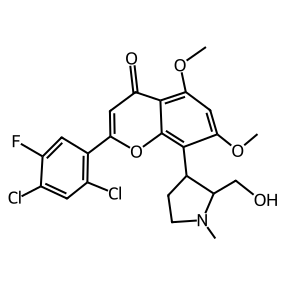 COc1cc(OC)c2c(=O)cc(-c3cc(F)c(Cl)cc3Cl)oc2c1C1CCN(C)C1CO